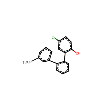 CCOC(=O)c1cccc(-c2ccccc2-c2cc(Cl)ccc2O)c1